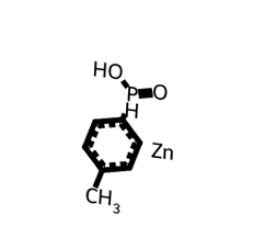 Cc1ccc([PH](=O)O)cc1.[Zn]